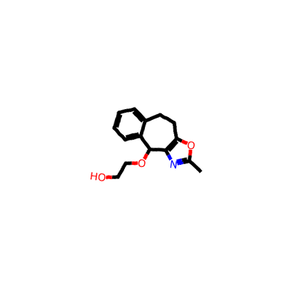 Cc1nc2c(o1)CCc1ccccc1C2OCCO